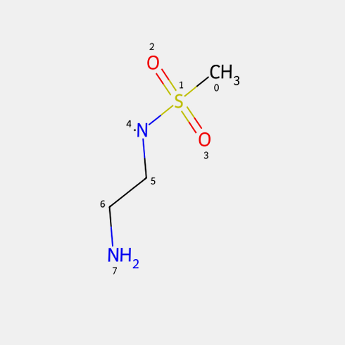 CS(=O)(=O)[N]CCN